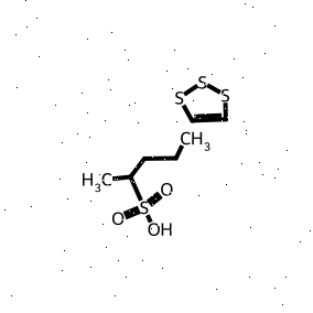 C1=CSSS1.CCCC(C)S(=O)(=O)O